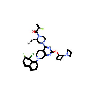 C=C(F)C(=O)N1CCN(c2nc(OC3CCC3N3CCC3)nc3c2CCN(c2cccc4ccc(F)c(Cl)c24)C3)C[C@@H]1CC#N